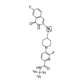 [2H]C([2H])([2H])NC(=O)c1ccc(N2CCC(N3CC4(c5cc6ccc(F)cc6c(=O)[nH]5)CC3C4)CC2)c(F)n1